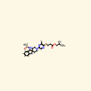 CCCCC(CC)COC(=O)CCSc1ncc(N2CCC3(CC2)Cc2ccccc2[C@H]3N[S+]([O-])C(C)(C)C)nc1C